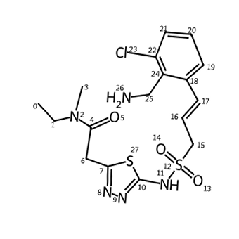 CCN(C)C(=O)Cc1nnc(NS(=O)(=O)CC=Cc2cccc(Cl)c2CN)s1